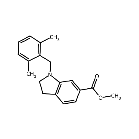 COC(=O)c1ccc2c(c1)N(Cc1c(C)cccc1C)CC2